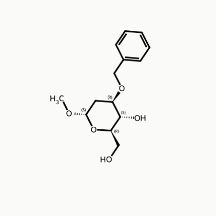 CO[C@@H]1C[C@@H](OCc2ccccc2)[C@H](O)[C@@H](CO)O1